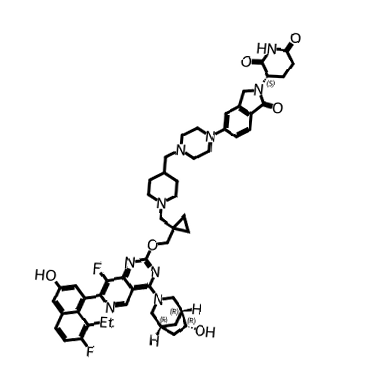 CCc1c(F)ccc2cc(O)cc(-c3ncc4c(N5C[C@@H]6C[C@H](C5)[C@H](O)C6)nc(OCC5(CN6CCC(CN7CCN(c8ccc9c(c8)CN([C@H]8CCC(=O)NC8=O)C9=O)CC7)CC6)CC5)nc4c3F)c12